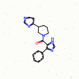 O=C(c1[nH]cnc1-c1ccccc1)N1CCCC(c2ccncn2)C1